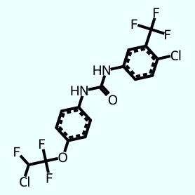 O=C(Nc1ccc(OC(F)(F)C(F)Cl)cc1)Nc1ccc(Cl)c(C(F)(F)F)c1